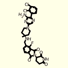 CC1(NCc2ccc3c(c2F)C(=O)N(C2CCC(=O)NC2=O)C3=O)CCN(c2cnc(-c3cccc(Cl)c3Cl)c(N)n2)CC1